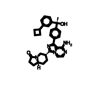 C[C@](O)(c1ccc(-c2nc([C@@H]3CC[C@H]4CCC(=O)N4C3)n3ccnc(N)c23)cc1)c1cccc(C2CCC2)c1